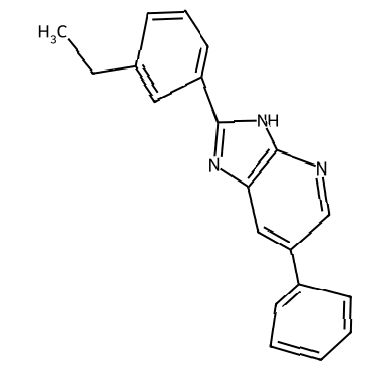 CCc1cccc(-c2nc3cc(-c4ccccc4)cnc3[nH]2)c1